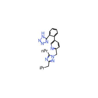 CCCc1nc(CC(C)C)nn1Cc1ccc(-c2ccccc2-c2nnn[nH]2)cn1